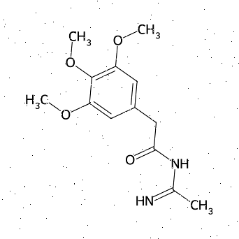 COc1cc(CC(=O)NC(C)=N)cc(OC)c1OC